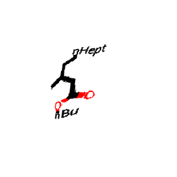 CCCCCCCCCC(C)CC(=O)OCCCC